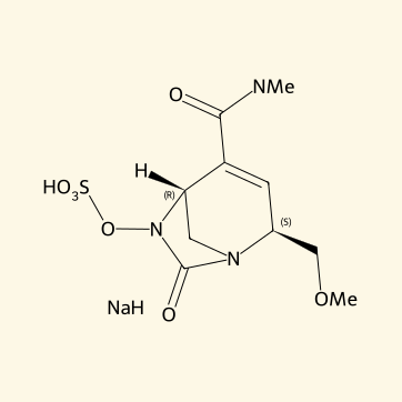 CNC(=O)C1=C[C@@H](COC)N2C[C@@H]1N(OS(=O)(=O)O)C2=O.[NaH]